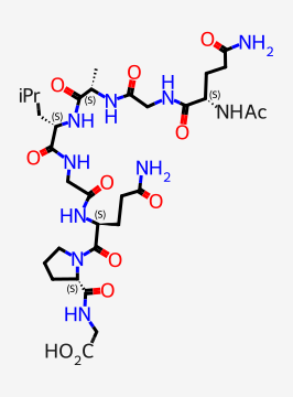 CC(=O)N[C@@H](CCC(N)=O)C(=O)NCC(=O)N[C@@H](C)C(=O)N[C@@H](CC(C)C)C(=O)NCC(=O)N[C@@H](CCC(N)=O)C(=O)N1CCC[C@H]1C(=O)NCC(=O)O